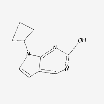 Oc1ncc2ccn(C3CCC3)c2n1